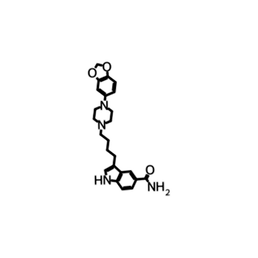 NC(=O)c1ccc2[nH]cc(CCCCN3CCN(c4ccc5c(c4)OCO5)CC3)c2c1